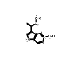 COc1ccc2[nH]cc(C(C)OC=O)c2c1